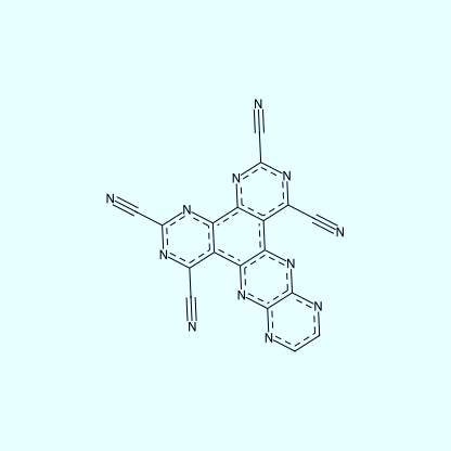 N#Cc1nc(C#N)c2c(n1)c1nc(C#N)nc(C#N)c1c1nc3nccnc3nc12